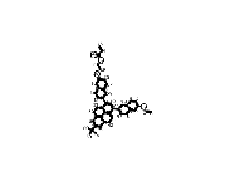 C=COc1ccc2cc(-c3cc(-c4ccc5cc(OCCOC(=O)C=C)ccc5c4)c4ccc5cc(C(C)(C)C)cc6ccc3c4c65)ccc2c1